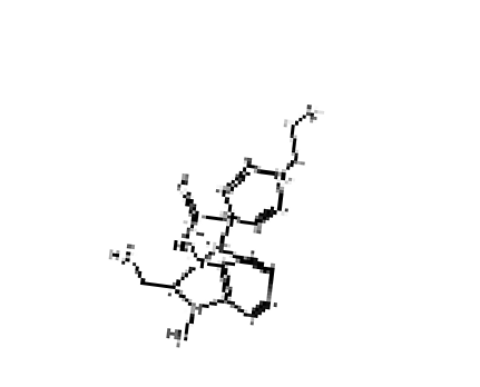 CCC1N(O)c2ccc3cc2[N+]1(O)N3C1(C(C)=O)C=CN(CCO)C=C1